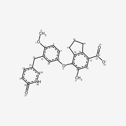 COc1ccc(Oc2c(C)cc([N+](=O)[O-])c3c2CCC3)cc1Cc1ccc(=O)[nH]n1